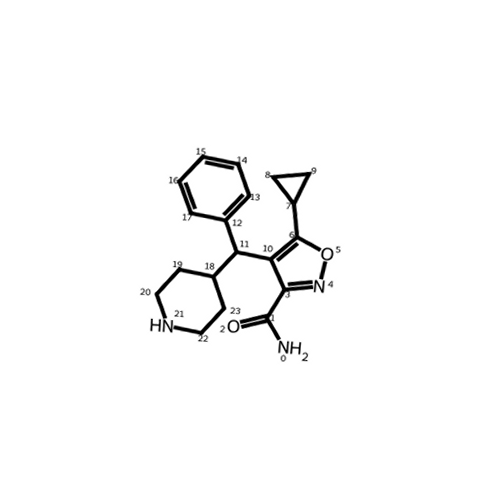 NC(=O)c1noc(C2CC2)c1C(c1ccccc1)C1CCNCC1